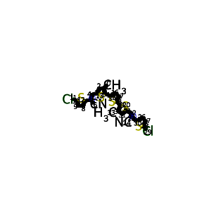 Cc1cc(/C=C(\C#N)c2ccc(Cl)s2)sc1-c1ccc(-c2sc(/C=C(\C#N)c3ccc(Cl)s3)cc2C)s1